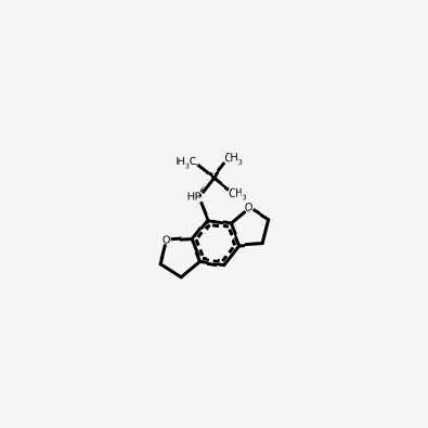 CC(C)(C)Pc1c2c(cc3c1OCC3)CCO2